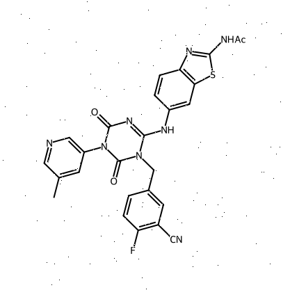 CC(=O)Nc1nc2ccc(Nc3nc(=O)n(-c4cncc(C)c4)c(=O)n3Cc3ccc(F)c(C#N)c3)cc2s1